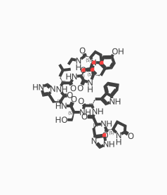 CCNC(=O)[C@@H]1CCCN1C(=O)[C@H](Cc1ccc(O)cc1)NC(=O)[C@H](CC(C)C)NC(=O)[C@@H](CC(C)C)NC(=O)[C@H](Cc1c[nH]cn1)NC(=O)[C@H](CO)NC(=O)[C@H](Cc1c[nH]c2ccccc12)NC(=O)[C@H](Cc1c[nH]cn1)NC(=O)[C@@H]1CCC(=O)N1